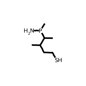 CC(CCS)C(C)P(C)N